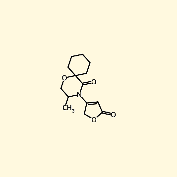 CC1COC2(CCCCC2)C(=O)N1C1=CC(=O)OC1